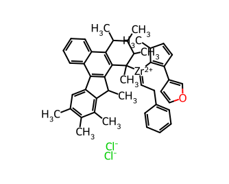 Cc1cc2c(c(C)c1C)C(C)c1c3c(c4ccccc4c1-2)C(C)C(C)C(C)[C]3(C)[Zr+2](=[CH]Cc1ccccc1)[C]1=C(c2ccoc2)C=CC1C.[Cl-].[Cl-]